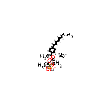 CCCCCCCCc1ccc(C(C)OC(C)OC(C)S(=O)(=O)[O-])cc1.[Na+]